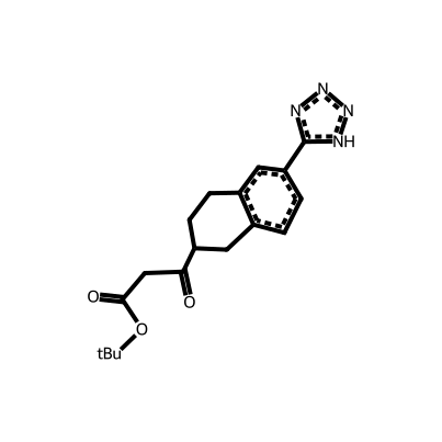 CC(C)(C)OC(=O)CC(=O)C1CCc2cc(-c3nnn[nH]3)ccc2C1